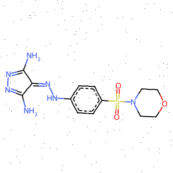 NC1=NN=C(N)C1=NNc1ccc(S(=O)(=O)N2CCOCC2)cc1